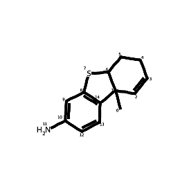 CC12C=CCCC1Sc1cc(N)ccc12